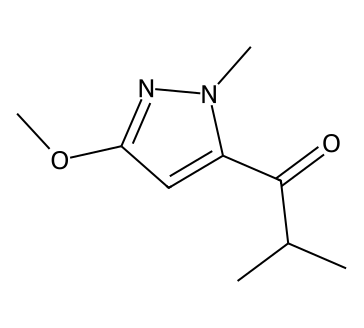 COc1cc(C(=O)C(C)C)n(C)n1